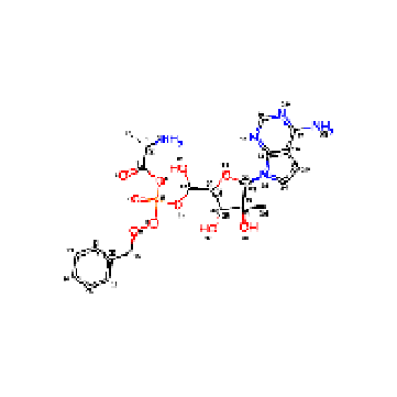 C[C@H](N)C(=O)OP(=O)(OOCc1ccccc1)OC(O)[C@H]1O[C@@H](n2ccc3c(N)ncnc32)[C@](C)(O)[C@@H]1O